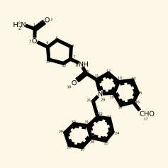 NC(=O)OC1CCC(NC(=O)c2cc3ccc(C=O)cc3n2Cc2cccc3ccccc23)CC1